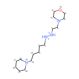 C(CCNNCCN1CCOCC1)CCN1CCCCC1